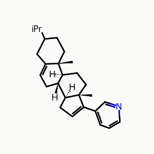 CC(C)C1CC[C@@]2(C)C(=CC[C@@H]3[C@@H]2CC[C@]2(C)C(c4cccnc4)=CC[C@@H]32)C1